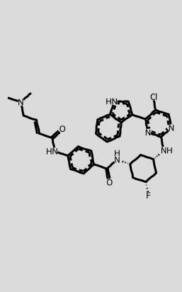 CN(C)CC=CC(=O)Nc1ccc(C(=O)N[C@H]2C[C@@H](F)C[C@@H](Nc3ncc(Cl)c(-c4c[nH]c5ccccc45)n3)C2)cc1